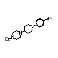 CCN1CCN(C2CCN(c3ccc(C(C)C)cc3)CC2)CC1